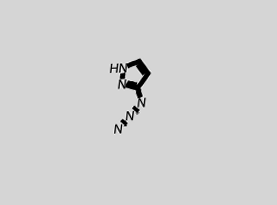 [N-]=[N+]=Nc1cc[nH]n1